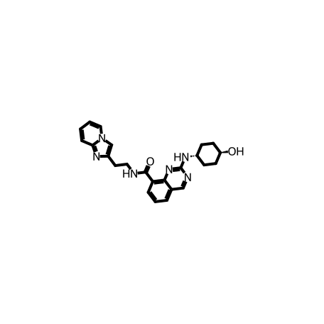 O=C(NCCc1cn2ccccc2n1)c1cccc2cnc(N[C@H]3CC[C@H](O)CC3)nc12